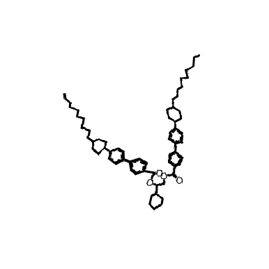 CCCCCCCCCCC1CCC(c2ccc(-c3ccc(C(=O)OCC(OC(=O)c4ccc(-c5ccc(C6CCC(CCCCCCCCCC)CC6)cc5)cc4)C4CCCCC4)cc3)cc2)CC1